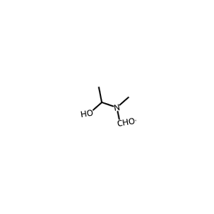 CC(O)N(C)[C]=O